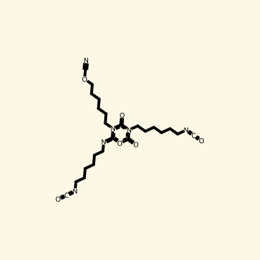 N#COCCCCCCn1c(=O)n(CCCCCCN=C=O)c(=O)o/c1=N\CCCCCCN=C=O